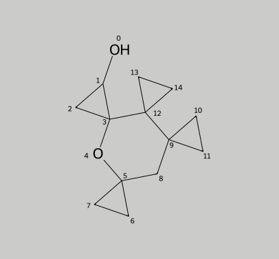 OC1CC12OC1(CC1)CC1(CC1)C21CC1